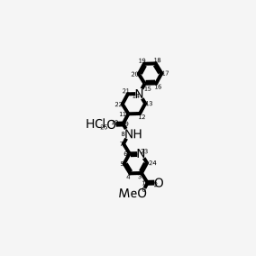 COC(=O)c1ccc(CNC(=O)C2CCN(c3ccccc3)CC2)nc1.Cl